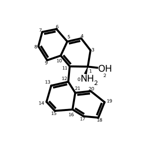 N[C@]1(O)CC=c2ccccc2=C1c1cccc2ccccc12